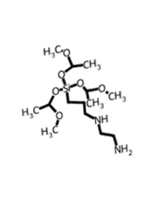 COC(C)O[Si](CCCNCCN)(OC(C)OC)OC(C)OC